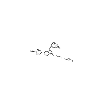 CCCCCCCCn1cc(CN(CC)CC)c2cc(-c3cnc(C#N)nc3)ccc21